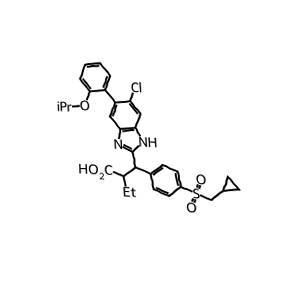 CCC(C(=O)O)C(c1ccc(S(=O)(=O)CC2CC2)cc1)c1nc2cc(-c3ccccc3OC(C)C)c(Cl)cc2[nH]1